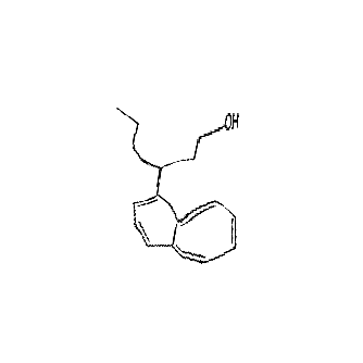 CCCC(CCO)c1cccc2ccccc12